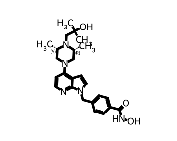 C[C@@H]1CN(c2ccnc3c2ccn3Cc2ccc(C(=O)NO)cc2)C[C@H](C)N1CC(C)(C)O